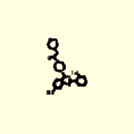 Cc1ccc2c(N3CCN(C(=O)CC4CCOCC4)CC3)nc(-c3ccccc3O)nc2c1